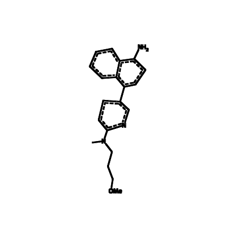 COCCCN(C)c1ccc(-c2ccc(N)c3ccccc23)cn1